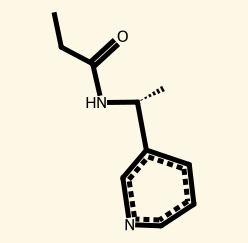 CCC(=O)N[C@H](C)c1cccnc1